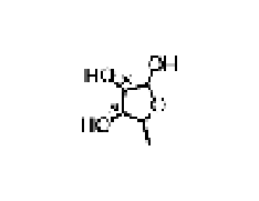 CC1OC(O)[C@H](O)[C@@H]1O